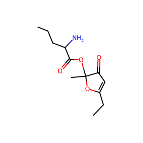 CCCC(N)C(=O)OC1(C)OC(CC)=CC1=O